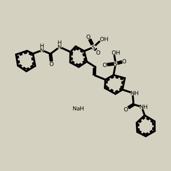 O=C(Nc1ccccc1)Nc1ccc(C=Cc2ccc(NC(=O)Nc3ccccc3)cc2S(=O)(=O)O)c(S(=O)(=O)O)c1.[NaH]